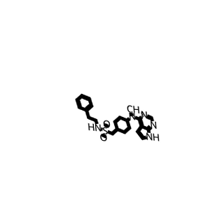 CN(c1ncnc2[nH]ccc12)C1CCC(CS(=O)(=O)NCCc2ccccc2)CC1